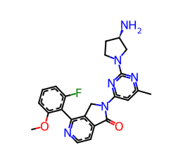 COc1cccc(F)c1-c1nccc2c1CN(c1cc(C)nc(N3CC[C@@H](N)C3)n1)C2=O